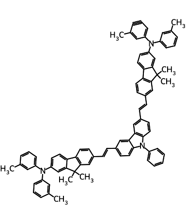 Cc1c#ccc(N(c2cccc(C)c2)c2ccc3c(c2)C(C)(C)c2cc(/C=C/c4ccc5c(c4)c4cc(/C=C/c6ccc7c(c6)C(C)(C)c6cc(N(c8cccc(C)c8)c8cccc(C)c8)ccc6-7)ccc4n5-c4ccccc4)ccc2-3)c1